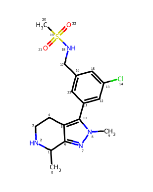 CC1NCCc2c1nn(C)c2-c1cc(Cl)cc(CNS(C)(=O)=O)c1